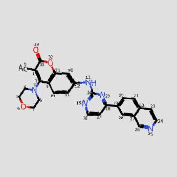 CC(=O)c1c(N2CCOCC2)c2ccc(Nc3nccc(-c4ccc5ccncc5c4)n3)cc2oc1=O